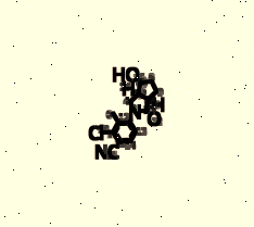 Cc1c(N2C[C@H]3[C@@H](O)CC[C@H]3C2=O)ccc(C#N)c1Cl